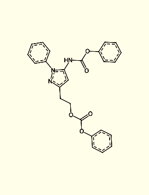 O=C(Nc1cc(CCOC(=O)Oc2ccccc2)nn1-c1ccccc1)Oc1ccccc1